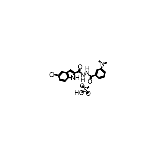 CN(C)c1cccc(C(=O)NNC(=O)c2cc3cc(Cl)ccc3[nH]2)c1.CS(=O)(=O)O